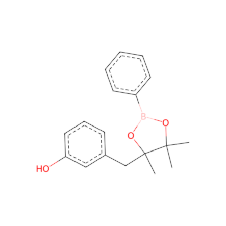 CC1(C)OB(c2ccccc2)OC1(C)Cc1cccc(O)c1